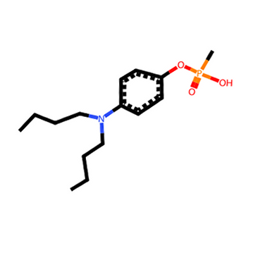 CCCCN(CCCC)c1ccc(OP(C)(=O)O)cc1